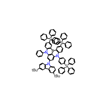 CC(C)(C)c1ccc2c(c1)c1cc(C(C)(C)C)ccc1n2-c1cc2c3c(c1)N(c1ccc([Si](c4ccccc4)(c4ccccc4)c4ccccc4)cc1)c1ccc([Si](c4ccccc4)(c4ccccc4)c4ccccc4)cc1B3c1cc([Si](c3ccccc3)(c3ccccc3)c3ccccc3)ccc1N2c1ccccc1